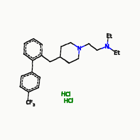 CCN(CC)CCN1CCC(Cc2ccccc2-c2ccc(C(F)(F)F)cc2)CC1.Cl.Cl